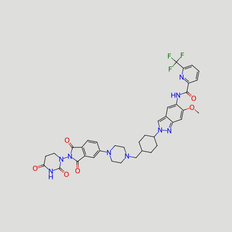 COc1cc2nn(C3CCC(CN4CCN(c5ccc6c(c5)C(=O)N(N5CCC(=O)NC5=O)C6=O)CC4)CC3)cc2cc1NC(=O)c1cccc(C(F)(F)F)n1